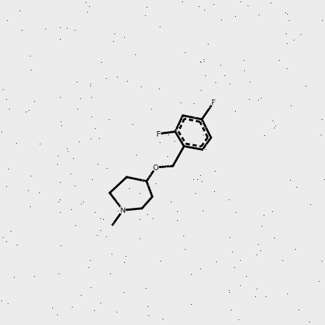 CN1CCC(OCc2ccc(F)cc2F)CC1